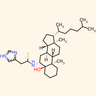 CC(C)CCCC(C)[C@H]1CC[C@H]2[C@@H]3C[C@@H](NC(F)Cc4c[nH]cn4)[C@@]4(O)CCCC[C@]4(C)[C@H]3CC[C@]12C